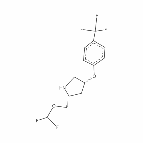 FC(F)OC[C@H]1C[C@@H](Oc2ccc(C(F)(F)F)cc2)CN1